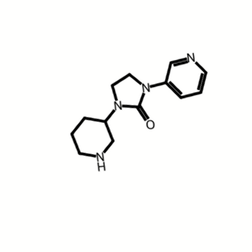 O=C1N(c2cccnc2)CCN1C1CCCNC1